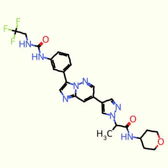 CC(C(=O)NC1CCOCC1)n1cc(-c2cnn3c(-c4cccc(NC(=O)NCC(F)(F)F)c4)cnc3c2)cn1